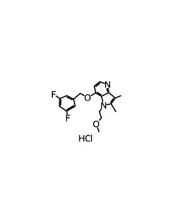 COCCn1c(C)c(C)c2nccc(OCc3cc(F)cc(F)c3)c21.Cl